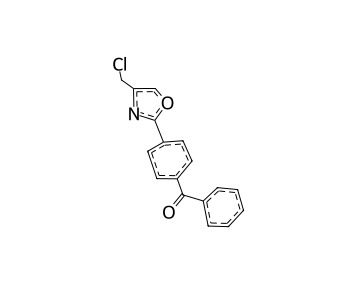 O=C(c1ccccc1)c1ccc(-c2nc(CCl)co2)cc1